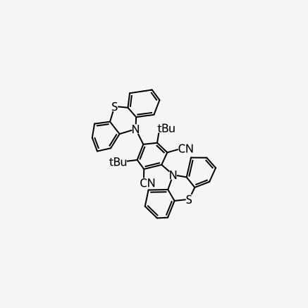 CC(C)(C)c1c(C#N)c(N2c3ccccc3Sc3ccccc32)c(C#N)c(C(C)(C)C)c1N1c2ccccc2Sc2ccccc21